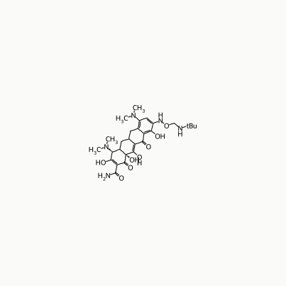 CN(C)c1cc(NOCNC(C)(C)C)c(O)c2c1CC1CC3[C@H](N(C)C)C(O)=C(C(N)=O)C(=O)[C@@]3(O)C(O)=C1C2=O